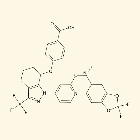 C[C@@H](Oc1cc(-n2nc(C(F)(F)F)c3c2C(Oc2ccc(C(=O)O)cc2)CCC3)ccn1)c1ccc2c(c1)OC(F)(F)O2